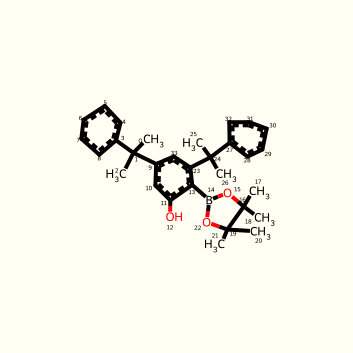 CC(C)(c1ccccc1)c1cc(O)c(B2OC(C)(C)C(C)(C)O2)c(C(C)(C)c2ccccc2)c1